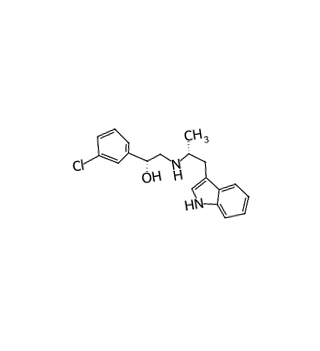 C[C@H](Cc1c[nH]c2ccccc12)NC[C@H](O)c1cccc(Cl)c1